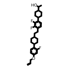 C=CCOc1ccc(C2CCC(CCc3ccc(C4CCC(C(C)O)CC4)c(F)c3F)CC2)c(F)c1